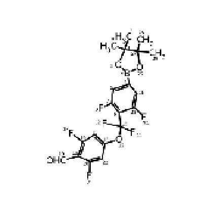 CC1(C)OB(c2cc(F)c(C(F)(F)Oc3cc(F)c(C=O)c(F)c3)c(F)c2)OC1(C)C